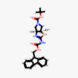 CC(C)(C)OC(=O)N1C[C@@H]2N=C(NC(=O)OCC3c4ccccc4-c4ccccc43)S[C@@H]2C1